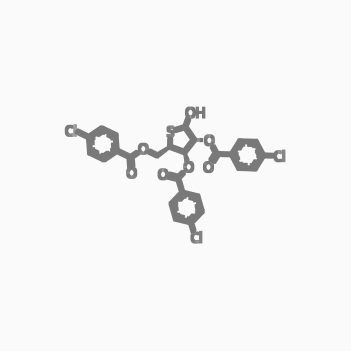 O=C(OC[C@H]1SC(O)[C@H](OC(=O)c2ccc(Cl)cc2)[C@H]1OC(=O)c1ccc(Cl)cc1)c1ccc(Cl)cc1